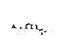 Cn1cc(-c2cnc3ccc(NC(=S)NC4CC4)nc3n2)nn1